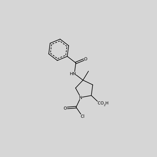 CC1(NC(=O)c2ccccc2)CC(C(=O)O)N(C(=O)Cl)C1